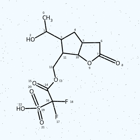 CC(O)C1CC2CC(=O)OC2C1COC(=O)C(F)(F)S(=O)(=O)O